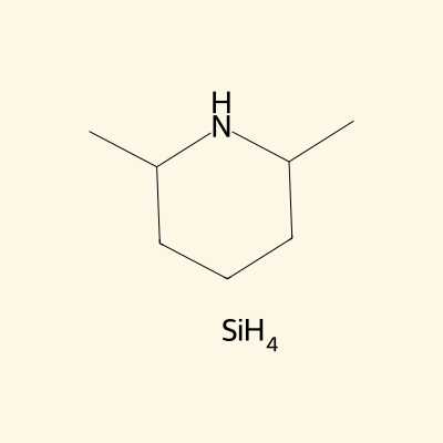 CC1CCCC(C)N1.[SiH4]